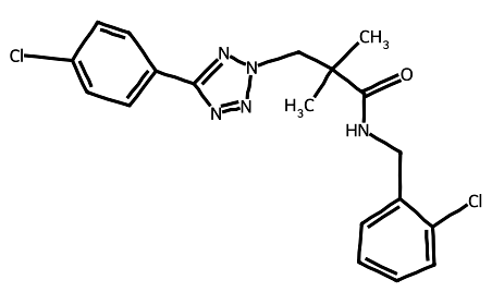 CC(C)(Cn1nnc(-c2ccc(Cl)cc2)n1)C(=O)NCc1ccccc1Cl